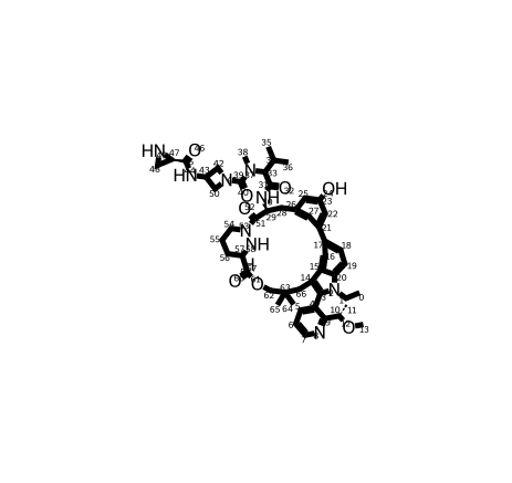 CCn1c(-c2cccnc2[C@H](C)OC)c2c3cc(ccc31)-c1cc(O)cc(c1)C[C@H](NC(=O)C(C(C)C)N(C)C(=O)N1CC(NC(=O)[C@H]3CN3)C1)C(=O)N1CCC[C@H](N1)C(=O)OCC(C)(C)C2